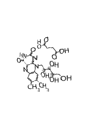 Cc1cc2nc3c(=O)[nH]c(=O)nc-3n(C[C@H](O)[C@H](O)[C@H](O)CO)c2cc1C.O=C(O)CCC(=O)O